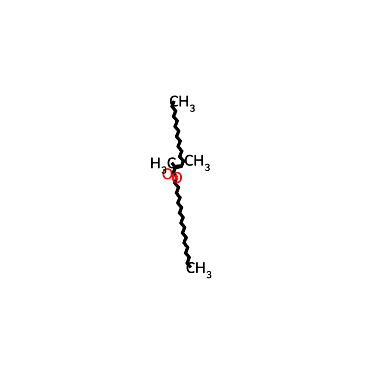 CCCCCCCCCCCCCCCCCCOC(=O)C(C)=CC(C)CCCCCCCCCCCC